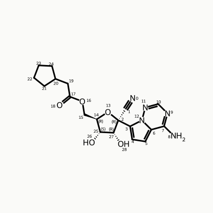 N#C[C@@]1(c2ccc3c(N)ncnn23)O[C@H](COC(=O)CC2CCCC2)[C@@H](O)[C@H]1O